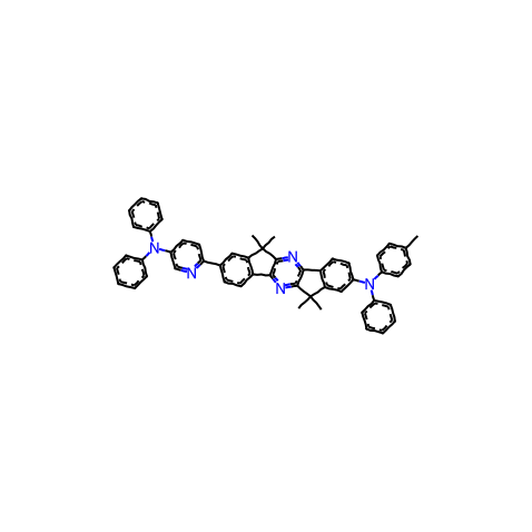 Cc1ccc(N(c2ccccc2)c2ccc3c(c2)C(C)(C)c2nc4c(nc2-3)C(C)(C)c2cc(-c3ccc(N(c5ccccc5)c5ccccc5)cn3)ccc2-4)cc1